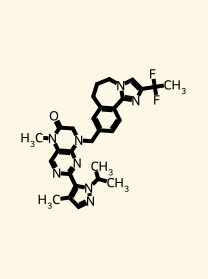 Cc1cnn(C(C)C)c1-c1ncc2c(n1)N(Cc1ccc3c(c1)CCCn1cc(C(C)(F)F)nc1-3)CC(=O)N2C